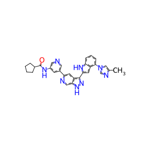 Cc1cn(-c2cccc3[nH]c(-c4n[nH]c5cnc(-c6cncc(NC(=O)C7CCCC7)c6)cc45)cc23)cn1